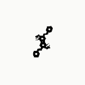 c1ccc(CCc2cc3c(c4sccc24)-c2cc(CCc4ccccc4)c4ccsc4c2-3)cc1